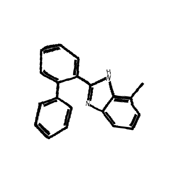 Cc1cccc2nc(-c3ccccc3-c3ccccc3)[nH]c12